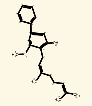 COc1cc(-c2ccccc2)cc(O)c1C/C=C(/C)CCC=C(C)C